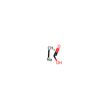 O=CO.[CH3][Na]